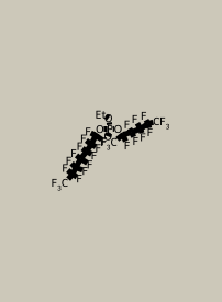 CCOP(=O)(OC(F)(F)C(F)(F)C(F)(F)C(F)(F)C(F)(F)C(F)(F)C(F)(F)F)OC(F)(C(F)(F)F)C(F)(F)C(F)(F)C(F)(F)C(F)(F)F